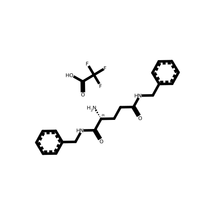 N[C@H](CCC(=O)NCc1ccccc1)C(=O)NCc1ccccc1.O=C(O)C(F)(F)F